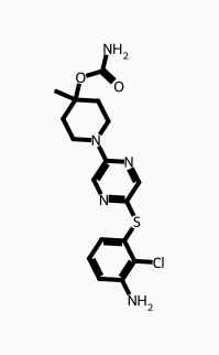 CC1(OC(N)=O)CCN(c2cnc(Sc3cccc(N)c3Cl)cn2)CC1